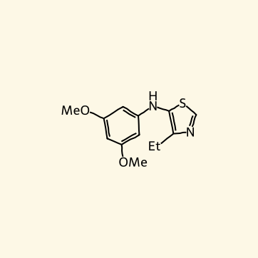 [CH2]Cc1ncsc1Nc1cc(OC)cc(OC)c1